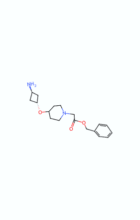 N[C@H]1C[C@H](OC2CCN(CC(=O)OCc3ccccc3)CC2)C1